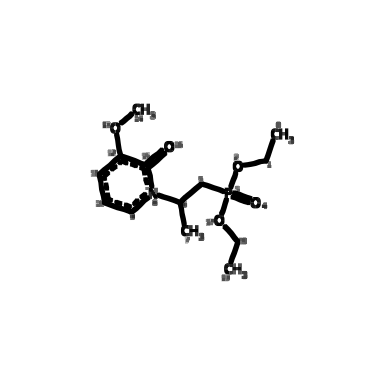 CCOP(=O)(CC(C)n1cccc(OC)c1=O)OCC